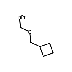 CCC[CH]OCC1CCC1